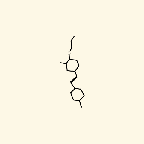 CCCOC1CCC(C=CC2CCC(C)CC2)CC1C